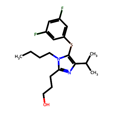 CCCCn1c(CCCO)nc(C(C)C)c1Sc1cc(F)cc(F)c1